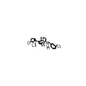 Clc1cccc(CNc2ccnc3c(-c4cccc(Cl)c4Cl)cnn23)c1